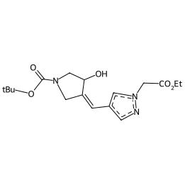 CCOC(=O)Cn1cc(C=C2CN(C(=O)OC(C)(C)C)CC2O)cn1